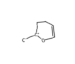 [CH2-][C+]1CCC=CO1